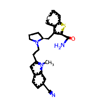 Cn1c(CCN2CCC[C@H]2Cc2c(C(N)=O)sc3ccccc23)cc2ccc(C#N)cc21